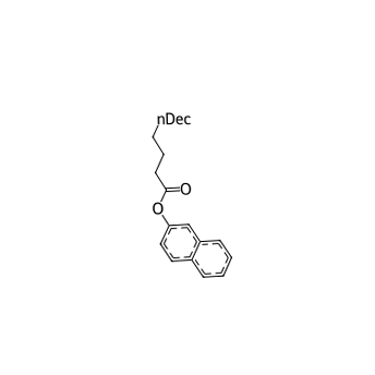 CCCCCCCCCCCCCC(=O)Oc1ccc2ccccc2c1